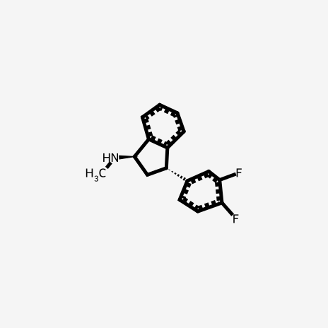 CN[C@@H]1C[C@@H](c2ccc(F)c(F)c2)c2ccccc21